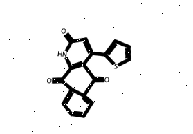 O=C1c2ccccc2C(=O)c2c(-c3cccs3)cc(=O)[nH]c21